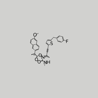 CNC(=O)N(OC(=O)[C@@H](C)c1ccc2cc(OC)ccc2c1)[C@H](C)C#Cc1ccc(Cc2ccc(F)cc2)s1